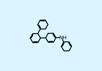 C1=CCCC(C2C=CC=CC2C2C=CC(NC3=CCCC=C3)=CC2)=C1